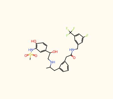 CC(Cc1cccc(CC(=O)NCc2cc(F)cc(C(F)(F)F)c2)c1)NCC(O)c1ccc(O)c(NS(C)(=O)=O)c1